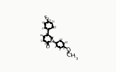 COc1ccc(-n2cc(-c3ccc(F)cc3)ccc2=O)cc1